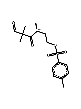 Cc1ccc(S(=O)(=O)OCC[C@H](C)C(=O)C(C)(C)C=O)cc1